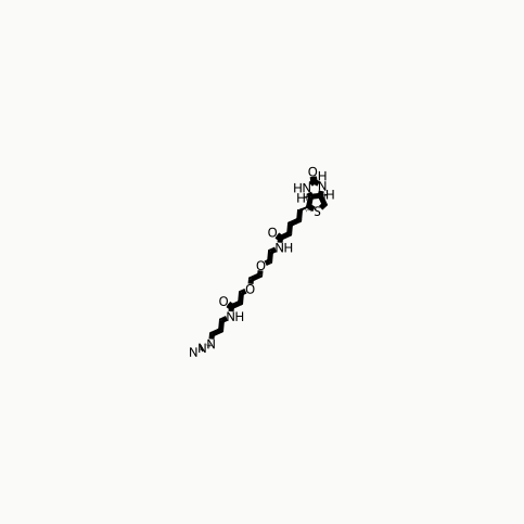 [N-]=[N+]=NCCCNC(=O)CCOCCOCCNC(=O)CCCC[C@@H]1SC[C@@H]2NC(=O)N[C@@H]21